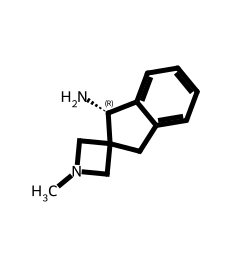 CN1CC2(Cc3ccccc3[C@H]2N)C1